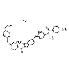 CCCOc1ccc(CN2CCN(C(=O)c3cc4ccc(Oc5ccc(N(C)C(=O)c6ccc(C)cc6)cn5)cc4n3C)CC2)cc1.Cl